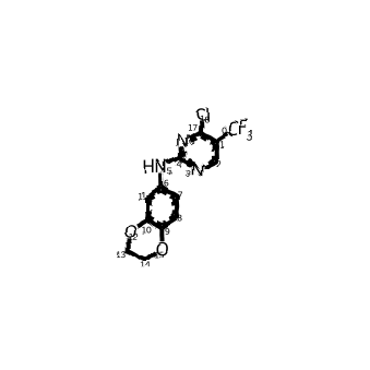 FC(F)(F)c1cnc(Nc2ccc3c(c2)OCCO3)nc1Cl